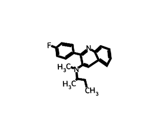 CCC(C)N(C)c1cc2ccccc2nc1-c1ccc(F)cc1